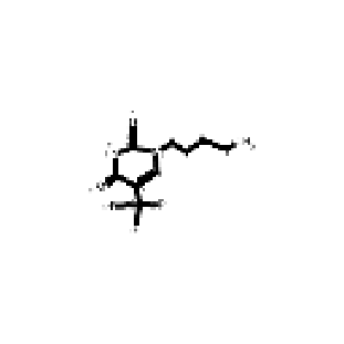 CCCCCn1cc(C(F)(F)F)c(=O)[nH]c1=O